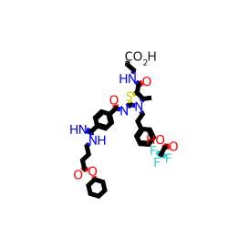 CC1C(C(=O)NCCC(=O)O)SC(=NC(=O)c2ccc(C(=N)NCCCC(=O)OC3CCCCC3)cc2)N1CCc1ccccc1.O=C(O)C(F)(F)F